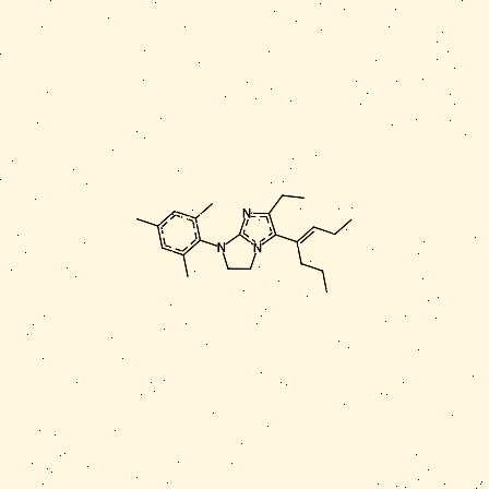 CC/C=C(\CCC)c1c(CC)nc2n1CCN2c1c(C)cc(C)cc1C